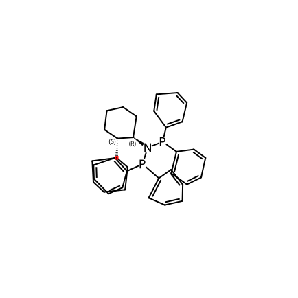 c1ccc(P(c2ccccc2)N([C@@H]2CCCC[C@H]2C2CCCCC2)P(c2ccccc2)c2ccccc2)cc1